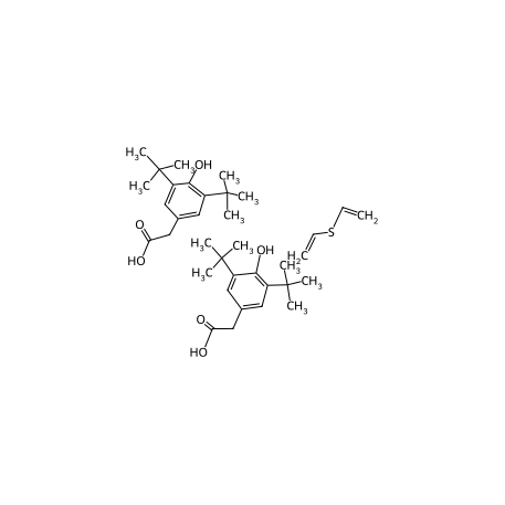 C=CSC=C.CC(C)(C)c1cc(CC(=O)O)cc(C(C)(C)C)c1O.CC(C)(C)c1cc(CC(=O)O)cc(C(C)(C)C)c1O